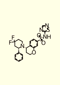 O=S(=O)(Nc1ncns1)c1ccc2c(c1)OCC[C@@H]2N1CCC(F)(F)C[C@@H]1c1ccccc1